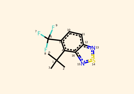 CC(C)(C)c1c(C(F)(F)F)ccc2nsnc12